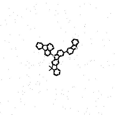 CC1(C)c2ccccc2-c2cc3c4cc(-c5ccc6oc7ccccc7c6c5)ccc4n(-c4ccc5c6c(cccc46)-c4ccccc4-5)c3cc21